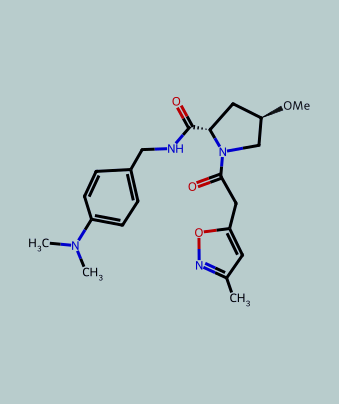 CO[C@@H]1C[C@@H](C(=O)NCc2ccc(N(C)C)cc2)N(C(=O)Cc2cc(C)no2)C1